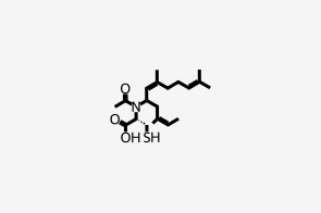 CC=C(C)CC(C=C(C)CCC=C(C)C)N(C(C)=O)[C@H](CS)C(=O)O